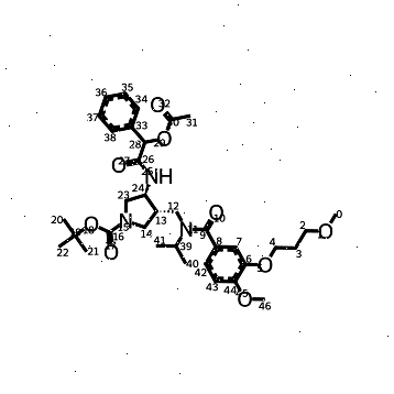 COCCCOc1cc(C(=O)N(C[C@@H]2CN(C(=O)OC(C)(C)C)C[C@H]2NC(=O)C(OC(C)=O)c2ccccc2)C(C)C)ccc1OC